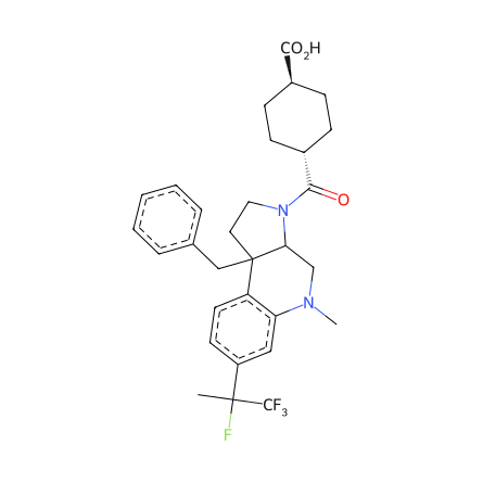 CN1CC2N(C(=O)[C@H]3CC[C@H](C(=O)O)CC3)CCC2(Cc2ccccc2)c2ccc(C(C)(F)C(F)(F)F)cc21